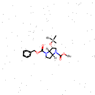 CC(C)(C)OC(=O)N1C[C@@H](O[Si](C)(C)C(C)(C)C)[C@@H]2[C@H]1CCN2C(=O)OCc1ccccc1